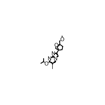 COCC12CCC(c3cn4cc(I)c(OC(C)C)nc4n3)(CO1)C2